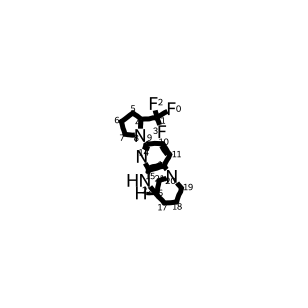 FC(F)(F)C1CCCN1c1ccc2c(n1)N[C@H]1CCCN2C1